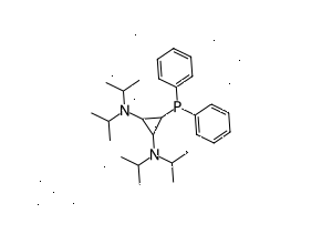 CC(C)N(C(C)C)C1C(N(C(C)C)C(C)C)C1P(c1ccccc1)c1ccccc1